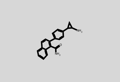 NC(=O)c1c(-c2ccc(C3CC3N)cc2)ccc2ccccc12